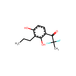 CCCc1c(O)ccc(C(=O)C(C)(F)F)c1O